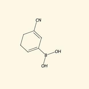 N#CC1=CC(B(O)O)=CCC1